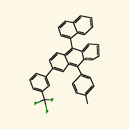 Cc1ccc(-c2c3ccccc3c(-c3cccc4ccccc34)c3ccc(-c4cccc(C(F)(F)F)c4)cc23)cc1